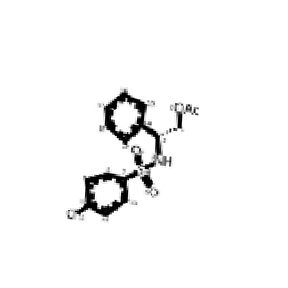 CC(=O)OC[C@H](NS(=O)(=O)c1ccc(Cl)cc1)c1ccccc1